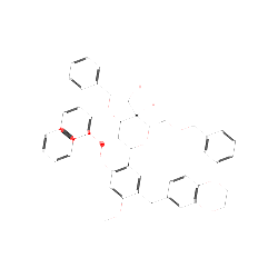 COc1cc(OCc2ccccc2)c([C@@H]2O[C@H](COCc3ccccc3)C(O)(CO)[C@H](OCc3ccccc3)[C@H]2OCc2ccccc2)cc1Cc1ccc2c(c1)OCCO2